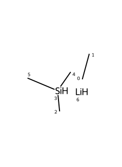 CC.C[SiH](C)C.[LiH]